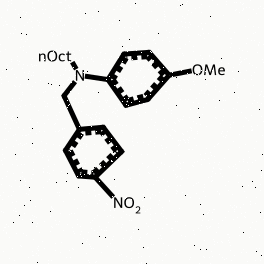 CCCCCCCCN(Cc1ccc([N+](=O)[O-])cc1)c1ccc(OC)cc1